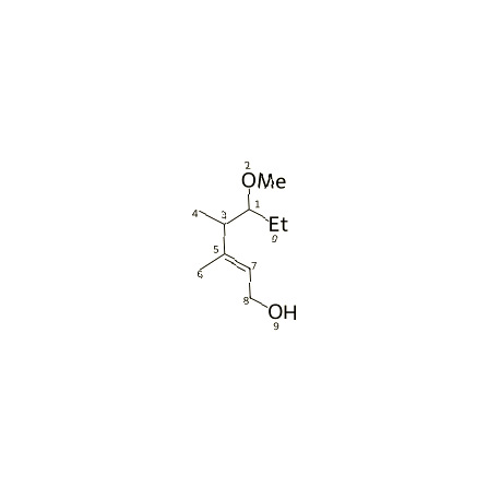 CCC(OC)C(C)C(C)=CCO